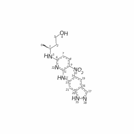 C[C@@H](CCO)Nc1ccc([N+](=O)[O-])c(Nc2ccc3cn[nH]c3c2)n1